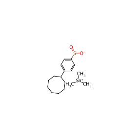 O=S([O-])c1ccc(C2CCCCCCC2)cc1.[CH3][Sn+]([CH3])[CH3]